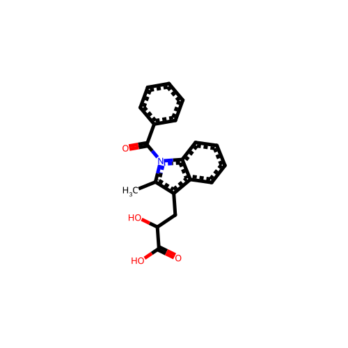 Cc1c(CC(O)C(=O)O)c2ccccc2n1C(=O)c1ccccc1